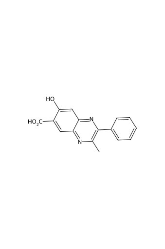 Cc1nc2cc(C(=O)O)c(O)cc2nc1-c1ccccc1